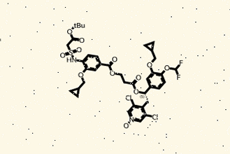 CC(C)(C)OC(=O)CS(=O)(=O)Nc1ccc(C(=O)OCCC(=O)O[C@@H](Cc2c(Cl)c[n+]([O-])cc2Cl)c2ccc(OC(F)F)c(OCC3CC3)c2)cc1OCC1CC1